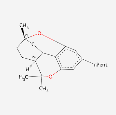 CCCCCc1cc2c3c(c1)O[C@@]1(C)CC[C@@H](C3C1)C(C)(C)O2